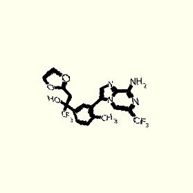 Cc1ccc(C(O)(CC2OCCO2)C(F)(F)F)cc1-c1cnc2c(N)nc(C(F)(F)F)cn12